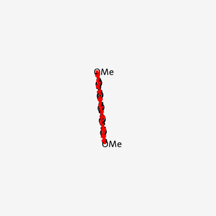 COc1ccc(C(C)(C)c2ccc(OOc3ccc(C(C)(C)c4ccc(OOc5ccc(C(C)(C)c6ccc(OOc7ccc(C(C)(C)c8ccc(OOc9ccc(C(C)(C)c%10ccc(OOc%11ccc(C(C)(C)c%12ccc(OC)cc%12)cc%11)cc%10)cc9)cc8)cc7)cc6)cc5)cc4)cc3)cc2)cc1